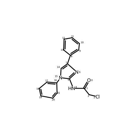 O=C(CCl)Nc1nc(-c2ccccc2)cn1-c1ccccc1